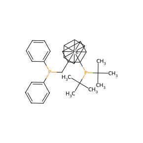 CC(C)(C)P(C(C)(C)C)[C]12[CH]3[CH]4[CH]5[C]1(CP(c1ccccc1)c1ccccc1)[Fe]45321678[CH]2[CH]1[CH]6[CH]7[CH]28